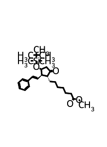 COC(=O)CCCCCC[C@H]1C(=O)CC(O[Si](C)(C)C(C)(C)C)[C@@H]1/C=C/c1ccccc1